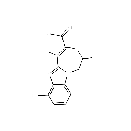 C=C(Cl)C1=C(C)c2nc3c(C)cccc3n2CC(C)O1